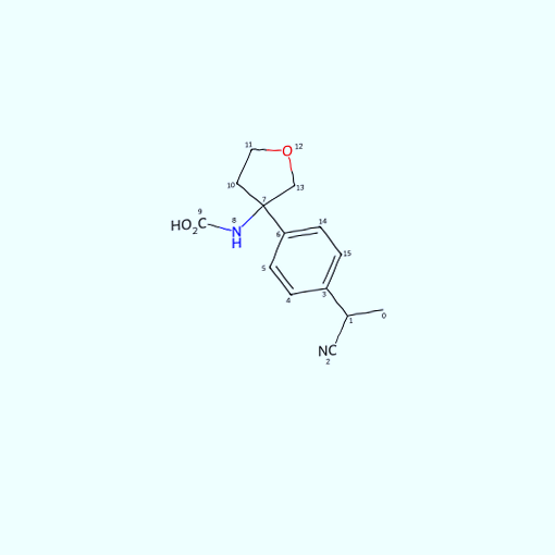 CC(C#N)c1ccc(C2(NC(=O)O)CCOC2)cc1